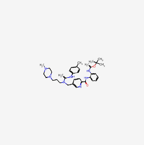 C=C(Nc1ccccc1NC(=O)c1ccc(CN(CCCN2CCN(C)CC2)C(=C)Nc2ccc(C)cc2)cn1)OC(C)(C)C